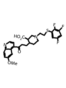 COc1ccc2nccc(C(=O)CCC3CCN(CCSc4cc(F)cc(F)c4F)CC3C(=O)O)c2c1